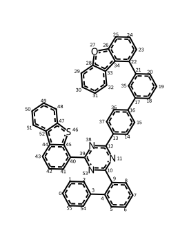 c1ccc(-c2ccccc2-c2nc(-c3ccc(-c4cccc(-c5cccc6oc7ccccc7c56)c4)cc3)nc(-c3cccc4c3sc3ccccc34)n2)cc1